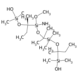 CCC(C)(O[Si](C)(C)C(C)(C)O[Si](N)(OC)[C@](C)(CC)O[Si](C)(C)O)[Si](C)(C)O